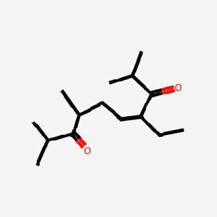 CCC(CCC(C)C(=O)C(C)C)C(=O)C(C)C